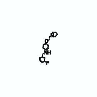 Fc1cccc(CNc2ccc(OCCN3CCCC3)cc2)c1